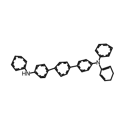 C1=CC(N(c2ccccc2)c2ccc(-c3ccc(-c4ccc(Nc5ccccc5)cc4)cc3)cc2)=CCC1